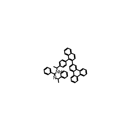 CC(/N=C(\NC(C)c1ccc(-c2c(-c3ccc4c5ccccc5c5ccccc5c4c3)ccc3ccccc23)cc1)c1ccccc1)c1ccccc1